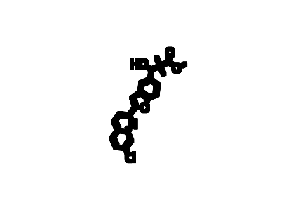 COC(=O)C(C)(C)C(O)c1ccc2oc(-c3ccc4ccc(Cl)cc4n3)cc2c1